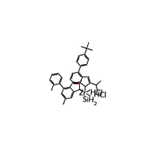 CC1=Cc2c(-c3ccccc3C)cc(C)cc2[CH]1[Zr]([CH3])([CH3])(=[SiH2])[CH]1C(C(C)C)=Cc2c(-c3ccc(C(C)(C)C)cc3)cccc21.Cl.Cl